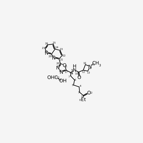 CCC(=O)CCCCC[C@H](NC(=O)C1CN(C)C1)c1nnc(-c2ccc3cccnc3n2)o1.O=CO